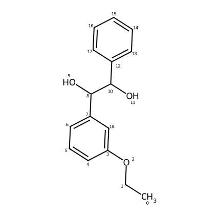 CCOc1cccc(C(O)C(O)c2ccccc2)c1